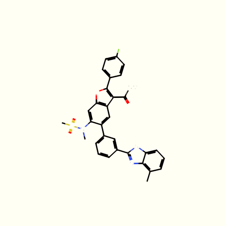 CNC(=O)c1c(-c2ccc(F)cc2)oc2cc(N(C)S(C)(=O)=O)c(-c3cccc(-c4nc5c(C)cccc5[nH]4)c3)cc12